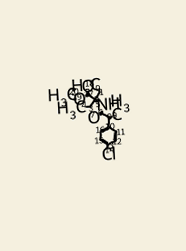 CCC(CC)(NC(=O)C(C)c1ccc(Cl)cc1)C(=O)OC